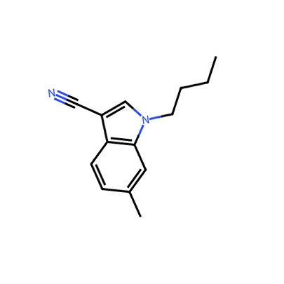 CCCCn1cc(C#N)c2ccc(C)cc21